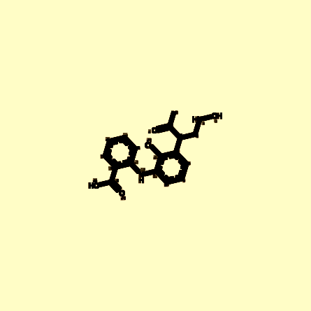 CC(=O)C(CNO)c1cccc(Nc2ccccc2C(=O)O)c1Cl